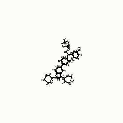 CC(C)(C)[Si](C)(C)OCC(c1cccc(Cl)c1)n1ccc(-c2ccc3c(c2)c(C2CCOCC2)nn3C2CCCCO2)cc1=O